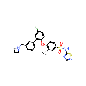 N#Cc1cc(S(=O)(=O)Nc2ncns2)ccc1Oc1ccc(Cl)cc1-c1cccc(CN2CCC2)c1